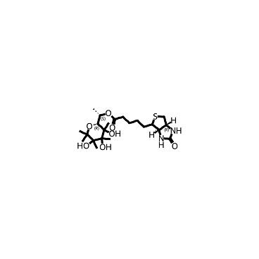 C[C@H](OC(=O)CCCCC1SC[C@@H]2NC(=O)N[C@H]12)[C@H]1OC(C)(C)C(C)(O)C(C)(O)C1(C)O